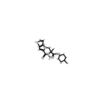 CC1CCC(NC(=O)C2(C)Cn3c(cc4sccc43)C(=O)N2C(C)C)CC1